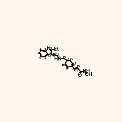 CCC1=Nc2ccccc2C1CCNCc1ccc(/C=C/C(=O)NO)cc1